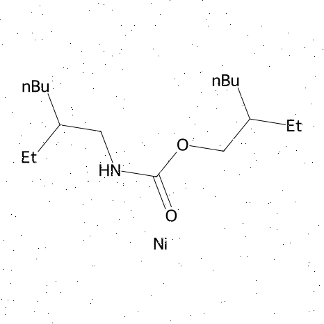 CCCCC(CC)CNC(=O)OCC(CC)CCCC.[Ni]